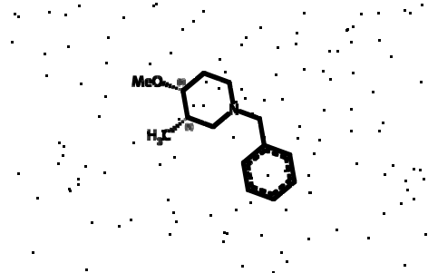 CO[C@@H]1CCN(Cc2ccccc2)C[C@@H]1C